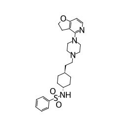 O=S(=O)(N[C@H]1CC[C@H](CCN2CCN(c3nccc4c3CCO4)CC2)CC1)c1ccccc1